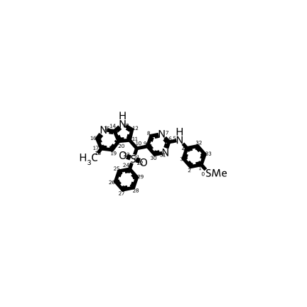 CSc1ccc(Nc2ncc(C(c3c[nH]c4ncc(C)cc34)S(=O)(=O)c3ccccc3)cn2)cc1